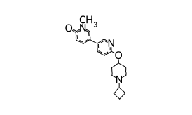 Cn1cc(-c2ccc(OC3CCN(C4CCC4)CC3)nc2)ccc1=O